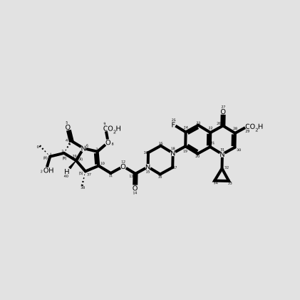 C[C@@H](O)[C@@H]1C(=O)N2C(OC(=O)O)=C(COC(=O)N3CCN(c4cc5c(cc4F)c(=O)c(C(=O)O)cn5C4CC4)CC3)[C@H](C)[C@H]12